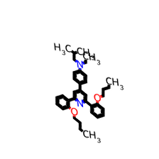 CCCCOc1ccccc1-c1cc(-c2ccc(N(CC)CC(C)C)cc2)cc(-c2ccccc2OCCCC)n1